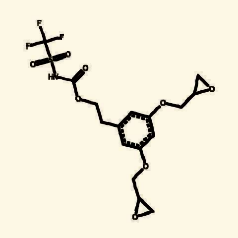 O=C(NS(=O)(=O)C(F)(F)F)OCCc1cc(OCC2CO2)cc(OCC2CO2)c1